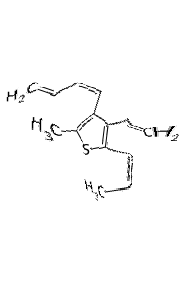 C=C/C=C\c1c(C)sc(/C=C\C)c1C=C